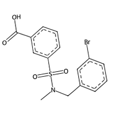 CN(Cc1cccc(Br)c1)S(=O)(=O)c1cccc(C(=O)O)c1